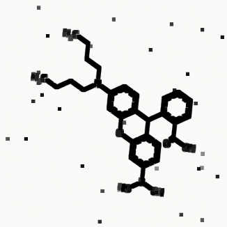 CCCCN(CCCC)c1ccc2c(c1)Oc1cc(B(O)O)ccc1C2c1ccccc1C(=O)O